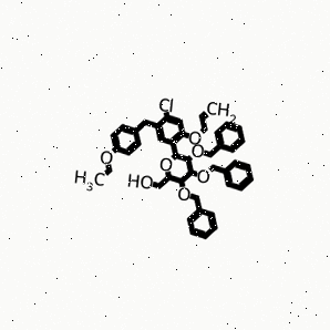 C=CCOc1cc(Cl)c(Cc2ccc(OCC)cc2)cc1C1OC(CO)C(OCc2ccccc2)C(OCc2ccccc2)C1OCc1ccccc1